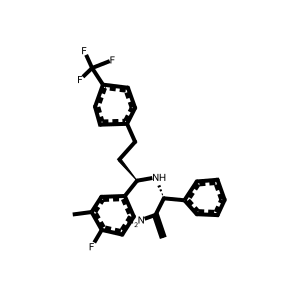 C=C(N)[C@H](N[C@H](CCc1ccc(C(F)(F)F)cc1)c1ccc(F)c(C)c1)c1ccccc1